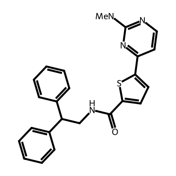 CNc1nccc(-c2ccc(C(=O)NCC(c3ccccc3)c3ccccc3)s2)n1